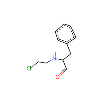 O=[C]C(Cc1ccccc1)NCCCl